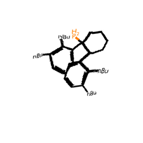 CCCCc1cccc(C2CCCCC2(P)c2cccc(CCCC)c2CCCC)c1CCCC